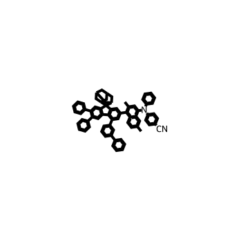 Cc1ccc2c(-c3cc(-c4cccc(-c5ccccc5)c4)c4c(c3)C3(c5cc(-c6ccccc6)c(-c6ccccc6)cc5-4)C4CC5CC(C4)CC3C5)c(C)cc(N(c3ccccc3)c3ccc(C#N)cc3)c2c1